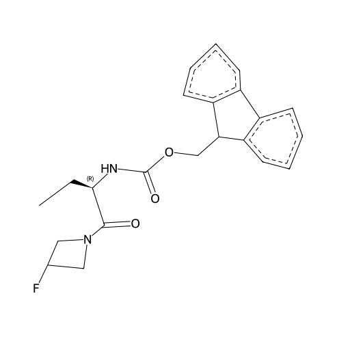 CC[C@@H](NC(=O)OCC1c2ccccc2-c2ccccc21)C(=O)N1CC(F)C1